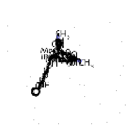 C/C=C/C1=CN2C(=O)c3cc(OC)c(OCCCOc4cc5c(cc4OC)C(=O)N4C=C(/C=C/C)C[C@H]4[C@H](O)N5C(=O)OCc4ccc(NC(=O)[C@H](C)NC(=O)[C@@H](NC(=O)CCOCCOCCOCCOCCNC(=O)CC5CCCCCCCCCC5)C(C)C)cc4)cc3N=C[C@@H]2C1